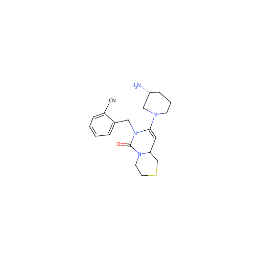 N#Cc1ccccc1CN1C(=O)N2CCSCC2C=C1N1CCC[C@@H](N)C1